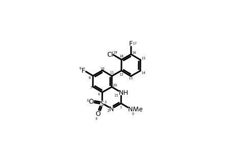 CNC1=NS(=O)(=O)c2cc(F)cc(-c3cccc(F)c3Cl)c2N1